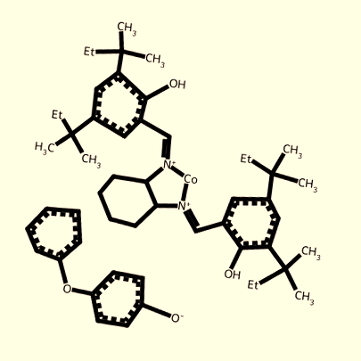 CCC(C)(C)c1cc(C=[N+]2[Co][N+](=Cc3cc(C(C)(C)CC)cc(C(C)(C)CC)c3O)C3CCCCC32)c(O)c(C(C)(C)CC)c1.[O-]c1ccc(Oc2ccccc2)cc1